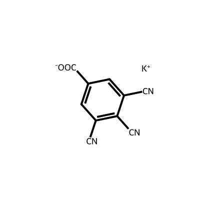 N#Cc1cc(C(=O)[O-])cc(C#N)c1C#N.[K+]